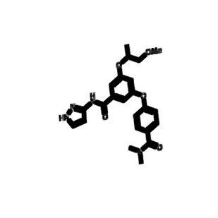 COCC(C)Oc1cc(Oc2ccc(C(=O)N(C)C)cc2)cc(C(=O)Nc2cc[nH]n2)c1